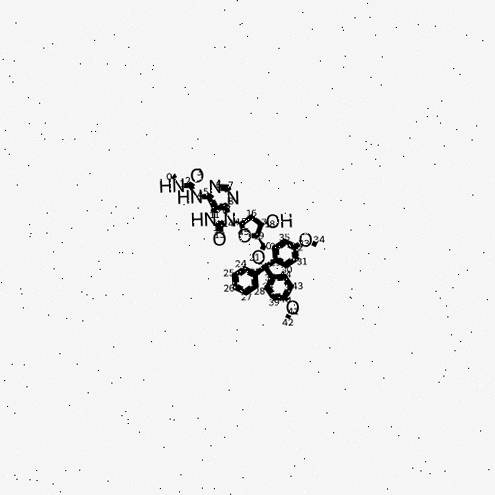 CNC(=O)Nc1ncnc2c1[nH]c(=O)n2[C@H]1C[C@H](O)[C@@H](COC(c2ccccc2)(c2ccc(OC)cc2)c2ccc(OC)cc2)O1